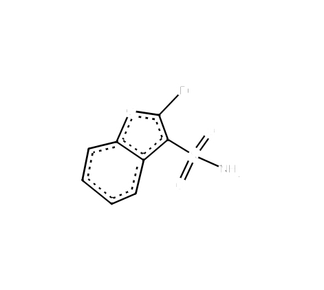 CCc1oc2ccccc2c1S(N)(=O)=O